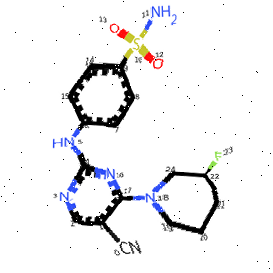 N#Cc1cnc(Nc2ccc(S(N)(=O)=O)cc2)nc1N1CCC[C@H](F)C1